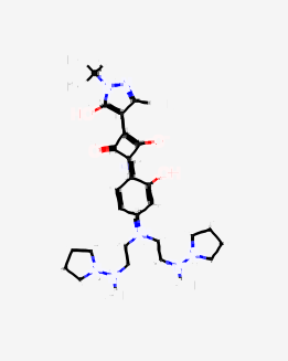 Cc1nn(C(C)(C)C)c(O)c1C1=C([O-])/C(=C2/C=CC(=[N+](CCN(C)N3CCCC3)CCN(C)N3CCCC3)C=C2O)C1=O